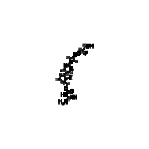 N=C(N)NC(=O)OCc1cccc(-c2cnc(N3CC(=NOCC(F)CO)C3)nc2)c1F